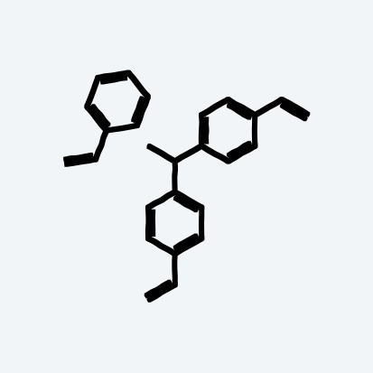 C=Cc1ccc(C(C)c2ccc(C=C)cc2)cc1.C=Cc1ccccc1